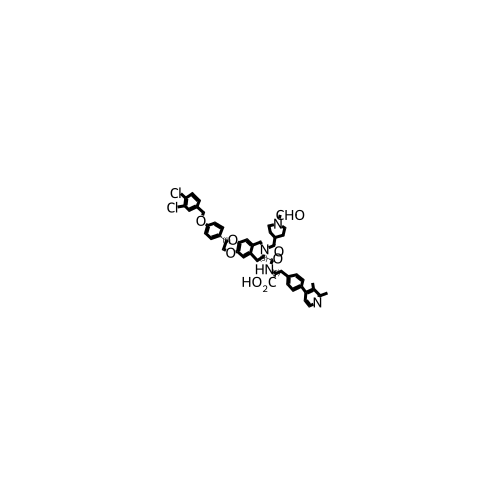 Cc1nccc(-c2ccc(C[C@H](NC(=O)[C@@H]3Cc4cc5c(cc4CN3C(=O)C3CCN([C]=O)CC3)O[C@@H](c3ccc(OCc4ccc(Cl)c(Cl)c4)cc3)CO5)C(=O)O)cc2)c1C